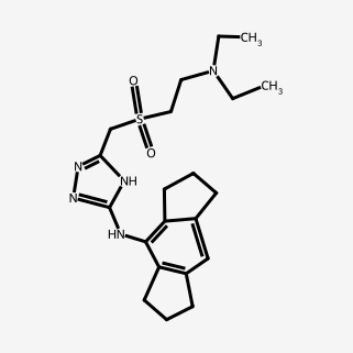 CCN(CC)CCS(=O)(=O)Cc1nnc(Nc2c3c(cc4c2CCC4)CCC3)[nH]1